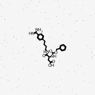 N=C(N)c1ccc(CCCCNC(=O)C(CC(=O)O)NC(=O)OCc2ccccc2)cc1